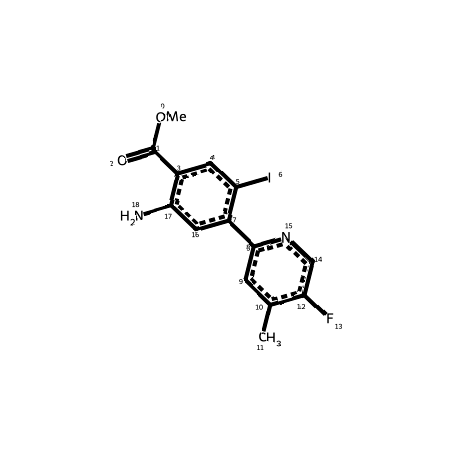 COC(=O)c1cc(I)c(-c2cc(C)c(F)cn2)cc1N